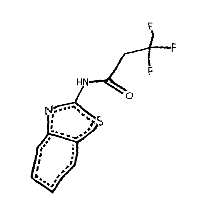 O=C(CC(F)(F)F)Nc1nc2ccccc2s1